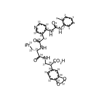 Cc1ccccc1NC(=O)Nc1ccncc1CC(=O)N[C@@H](CC(C)C)C(=O)NCC(C(=O)O)c1ccc2c(c1)OCO2